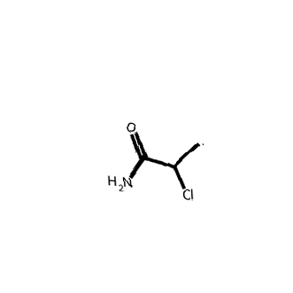 [CH2]C(Cl)C(N)=O